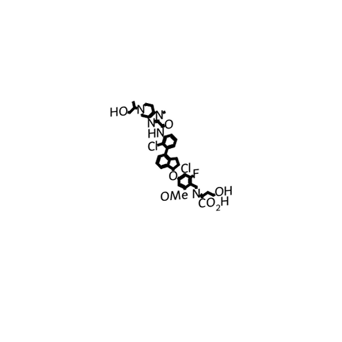 COc1cc(OC2CCc3c(-c4cccc(NC(=O)c5nc6c(n5C)CCN(C(C)CO)C6)c4Cl)cccc32)c(Cl)c(F)c1C/N=C(\CCO)C(=O)O